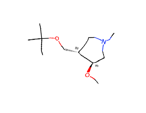 CO[C@@H]1CN(C)C[C@H]1COC(C)(C)C